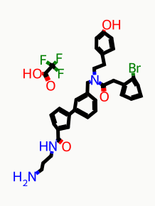 NCCCNC(=O)c1cccc(-c2cccc(CN(CCc3ccc(O)cc3)C(=O)Cc3ccccc3Br)c2)c1.O=C(O)C(F)(F)F